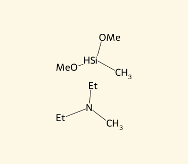 CCN(C)CC.CO[SiH](C)OC